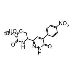 CC(C)(C)OC(=O)NC(CC(=O)O)c1cc(-c2ccc([N+](=O)[O-])cc2)c(=O)[nH]n1